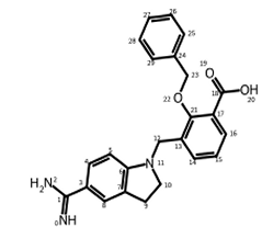 N=C(N)c1ccc2c(c1)CCN2Cc1cccc(C(=O)O)c1OCc1ccccc1